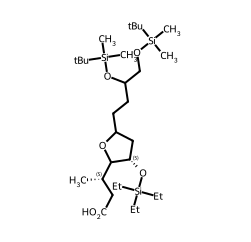 CC[Si](CC)(CC)O[C@H]1CC(CCC(CO[Si](C)(C)C(C)(C)C)O[Si](C)(C)C(C)(C)C)OC1[C@@H](C)CC(=O)O